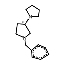 c1ccc(CN2CC[C@@H](N3CCCC3)C2)cc1